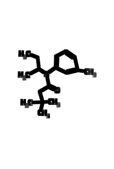 CCC(C)N(C(=O)CC(C)(C)C)c1cccc(C)c1